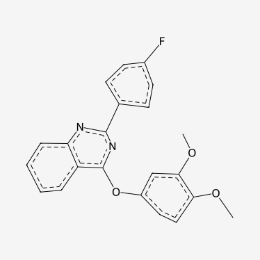 COc1ccc(Oc2nc(-c3ccc(F)cc3)nc3ccccc23)cc1OC